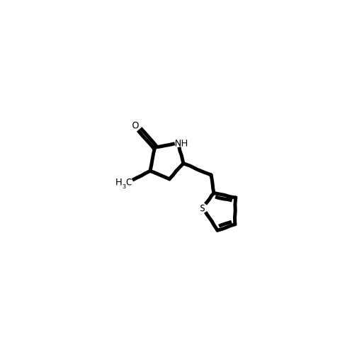 CC1CC(Cc2cccs2)NC1=O